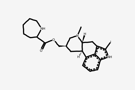 CN1C[C@H](COC(=O)C2CCCCCN2)C[C@@H]2c3cccc4[nH]c(I)c(c34)C[C@H]21